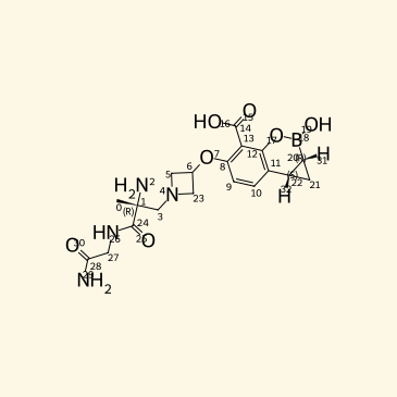 C[C@@](N)(CN1CC(Oc2ccc3c(c2C(=O)O)OB(O)[C@@H]2C[C@H]32)C1)C(=O)NCC(N)=O